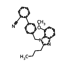 CCCCc1nc2cccc(OC)c2n1Cc1ccc(-c2ccccc2C#N)cc1